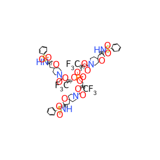 O=C(O[C@H](COP(=O)(OC[C@@H](OC(=O)N1CCC2(CC1)C[C@@H](NS(=O)(=O)c1ccccc1)CO2)C(F)(F)F)OC[C@@H](OC(=O)N1CCC2(CC1)C[C@@H](NS(=O)(=O)c1ccccc1)CO2)C(F)(F)F)C(F)(F)F)N1CCC2(CC1)C[C@@H](NS(=O)(=O)c1ccccc1)CO2